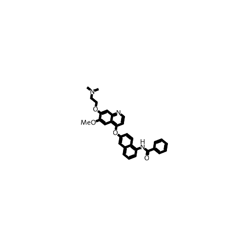 COc1cc2c(Oc3ccc4c(NC(=O)c5ccccc5)cccc4c3)ccnc2cc1OCCN(C)C